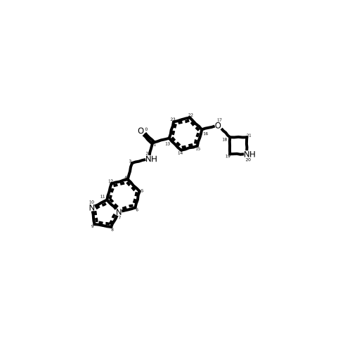 O=C(NCc1ccn2ccnc2c1)c1ccc(OC2CNC2)cc1